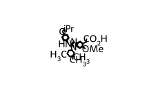 COc1cc2c(cc1CC(=O)O)nc(Nc1ccc(OC(C)C)cc1)n2[C@H]1C[C@@H](C)CC(C)(C)C1